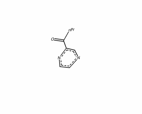 CCCC(=O)c1cnccn1